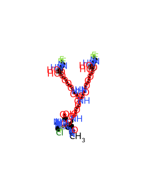 CN1CCN(c2ccc(CCCNC(=O)COCCOCCOCC(=O)NC(COCCC(=O)NCCOCCOCCOCCOC[C@H]3OC[C@H](Nc4cncc(C(F)(F)F)n4)[C@@H](O)[C@H]3O)COCCC(=O)NCCOCCOCCOCCOC[C@H]3OCC(Nc4cncc(C(F)(F)F)n4)[C@@H](O)[C@H]3O)c3c2CCN(C(=O)/C=C/c2c(-n4cnnn4)ccc(Cl)c2F)[C@@H]3C(=O)Nc2ccc(C(=O)O)cc2)C(=O)C1